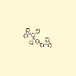 c1ccc(-c2cc(-n3c4ccccc4c4ccccc43)cc(-n3c4ccccc4c4cc(-c5cccc(-n6c7ccccc7c7ccccc76)c5)ccc43)c2)cc1